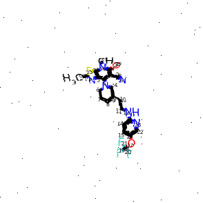 Cc1nc2c(N3CCC[C@H](CCNc4ccc(OC(F)(F)F)cn4)C3)c(C#N)c(=O)n(C)c2s1